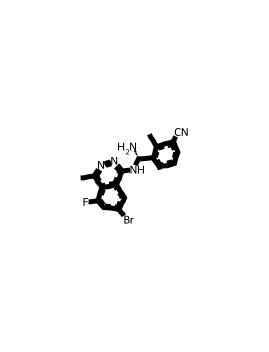 Cc1c(C#N)cccc1[C@@H](N)Nc1nnc(C)c2c(F)cc(Br)cc12